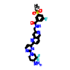 CS(=O)(=O)c1cc(F)cc(C(=O)NCc2cc3nc(-c4ccnc(N5CC[C@@H](N)C(F)(F)C5)n4)ccc3cn2)c1